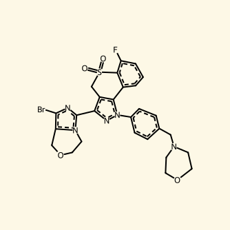 O=S1(=O)Cc2c(-c3nc(Br)c4n3CCOC4)nn(-c3ccc(CN4CCOCC4)cc3)c2-c2cccc(F)c21